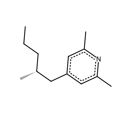 CCC[C@@H](C)Cc1cc(C)nc(C)c1